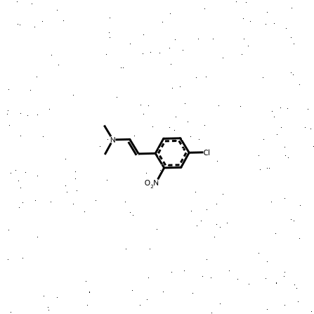 CN(C)C=Cc1ccc(Cl)cc1[N+](=O)[O-]